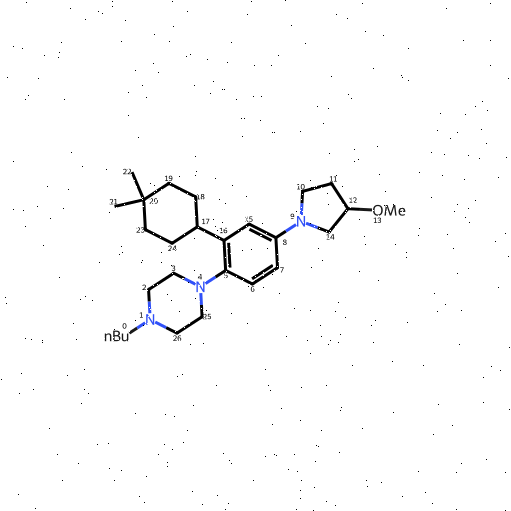 CCCCN1CCN(c2ccc(N3CCC(OC)C3)cc2C2CCC(C)(C)CC2)CC1